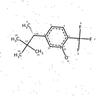 C[C@H](c1ccc(C(F)(F)F)[n+]([O-])c1)C(C)(C)C